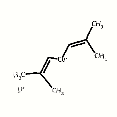 CC(C)=[CH][Cu-][CH]=C(C)C.[Li+]